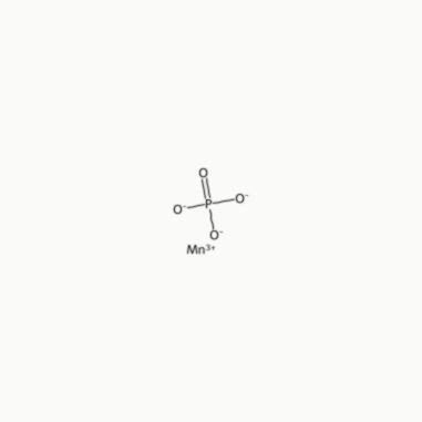 O=P([O-])([O-])[O-].[Mn+3]